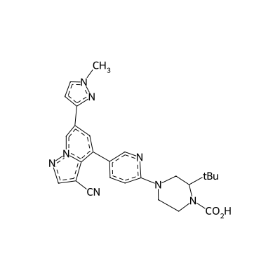 Cn1ccc(-c2cc(-c3ccc(N4CCN(C(=O)O)C(C(C)(C)C)C4)nc3)c3c(C#N)cnn3c2)n1